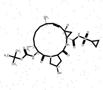 C[C@@H]1/C=C\[C@@H]2C[C@@]2(C(=O)NS(=O)(=O)C2CC2)NC(=O)C2C[C@@H](O)CN2C(=O)[C@@H](NC(=O)OC(C)(C)C)[C@H](C)CCC1